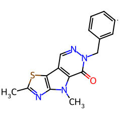 Cc1nc2c(s1)c1cnn(Cc3c[c]ccc3)c(=O)c1n2C